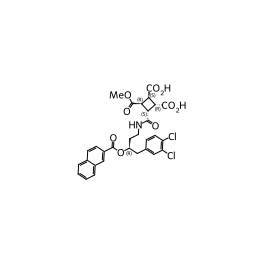 COC(=O)[C@H]1[C@@H](C(=O)O)[C@H](C(=O)O)[C@@H]1C(=O)NCC[C@@H](Cc1ccc(Cl)c(Cl)c1)OC(=O)c1ccc2ccccc2c1